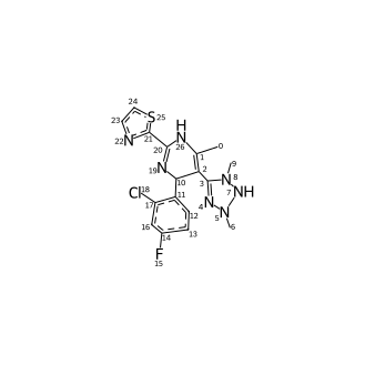 CC1=C(C2=NN(C)NN2C)C(c2ccc(F)cc2Cl)N=C(c2nccs2)N1